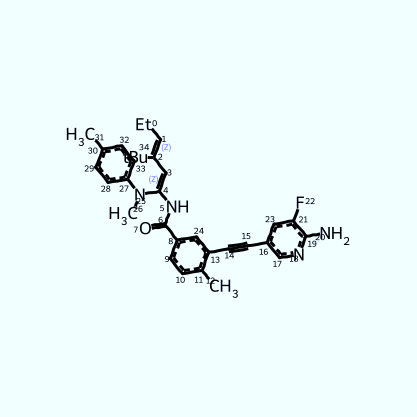 CC/C=C(/C=C(/NC(=O)c1ccc(C)c(C#Cc2cnc(N)c(F)c2)c1)N(C)c1ccc(C)cc1)C(C)(C)C